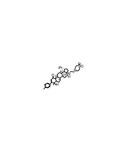 Cc1ccc(C2=CC(=O)[C@]3(C)[C@H]4CC[C@@H]5[C@H]6[C@H](C(C)C)CC[C@]6(NCCN6CCS(=O)(=O)CC6)CC[C@@]5(C)[C@]4(C)CC[C@H]3C2(C)C)cc1